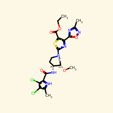 CCOC(=O)c1sc(N2CC[C@@H](NC(=O)c3[nH]c(C)c(Cl)c3Cl)[C@@H](OC)C2)nc1-c1nc(C)no1